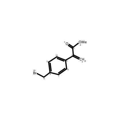 C=C(C(=O)OC)c1ccc(CBr)cc1